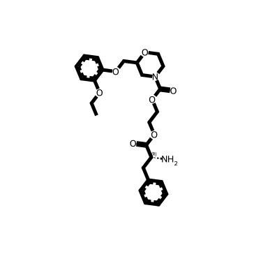 CCOc1ccccc1OCC1CN(C(=O)OCCOC(=O)[C@H](N)Cc2ccccc2)CCO1